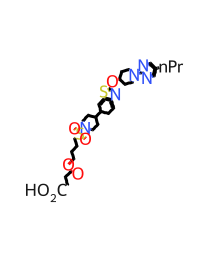 CCCc1cnc(N2CCC(Oc3nc4c(s3)=CC(C3CCN(S(=O)(=O)CCCCOC(=O)CCC(=O)O)CC3)CC=4)CC2)nc1